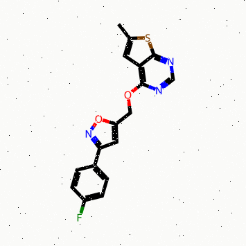 Cc1cc2c(OCc3cc(-c4ccc(F)cc4)no3)ncnc2s1